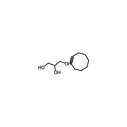 C1#CCCCCCC1.OCC(O)CO